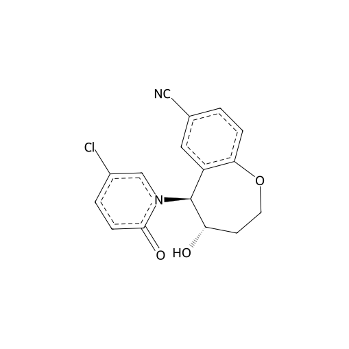 N#Cc1ccc2c(c1)[C@H](n1cc(Cl)ccc1=O)[C@@H](O)CCO2